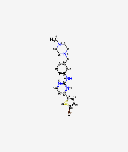 CN1CCN(Cc2cccc(Nc3nccc(-c4ccc(Br)s4)n3)c2)CC1